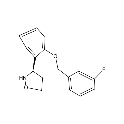 Fc1cccc(COc2ccccc2[C@H]2CCON2)c1